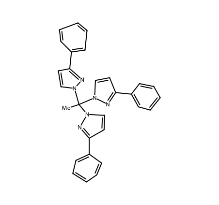 [Mo][C](n1ccc(-c2ccccc2)n1)(n1ccc(-c2ccccc2)n1)n1ccc(-c2ccccc2)n1